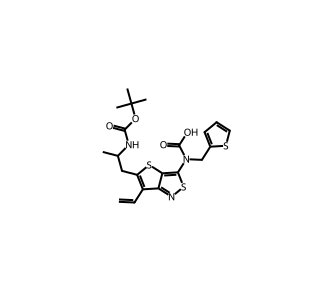 C=Cc1c(CC(C)NC(=O)OC(C)(C)C)sc2c(N(Cc3cccs3)C(=O)O)snc12